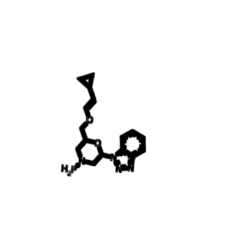 PN1CC(COC=CC2CC2)OC(n2nnc3ccccc32)C1